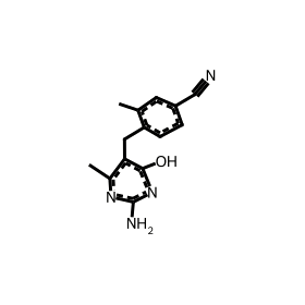 Cc1cc(C#N)ccc1Cc1c(C)nc(N)nc1O